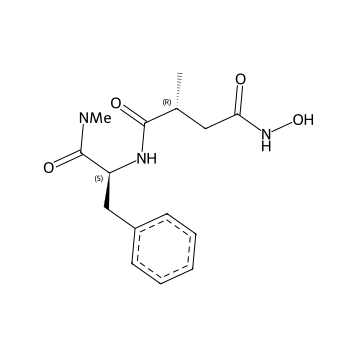 CNC(=O)[C@H](Cc1ccccc1)NC(=O)[C@H](C)CC(=O)NO